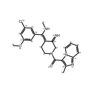 CN/C(=C1/CCN(C(=O)c2c(C)nc3ccccn23)CC1=N)c1cc(Cl)cc(OC)c1